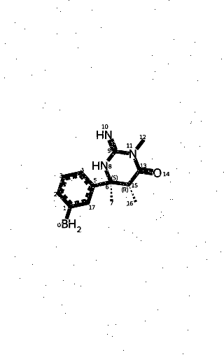 Bc1cccc([C@@]2(C)NC(=N)N(C)C(=O)[C@@H]2C)c1